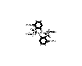 COc1cccc(SSc2cccc(OC)c2S(=O)(=O)NC(C)(C)C)c1S(=O)(=O)NC(C)(C)C